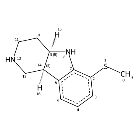 CSc1cccc2c1N[C@@H]1CCNC[C@H]21